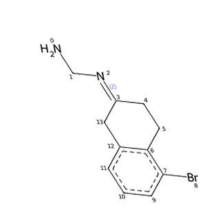 NC/N=C1/CCc2c(Br)cccc2C1